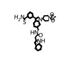 CS(=O)(=O)N1CCC(n2cc(-c3cccc(C(N)=S)c3)c3ccc(CNC(=O)Cc4cc5ccccc5[nH]4)cc32)CC1